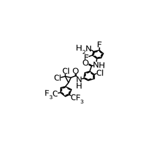 Nc1c(F)ccc(NC(=O)c2cc(NC(=O)C3C(c4cc(C(F)(F)F)cc(C(F)(F)F)c4)C3(Cl)Cl)ccc2Cl)c1F